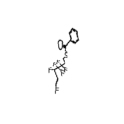 O=C(SCCC(F)(F)C(F)(F)C(F)CCF)c1ccccc1